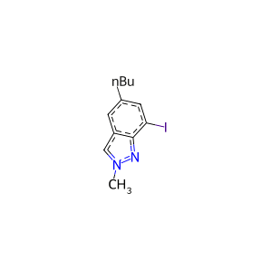 CCCCc1cc(I)c2nn(C)cc2c1